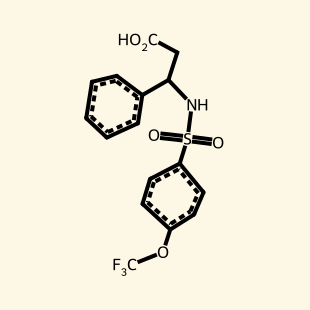 O=C(O)CC(NS(=O)(=O)c1ccc(OC(F)(F)F)cc1)c1ccccc1